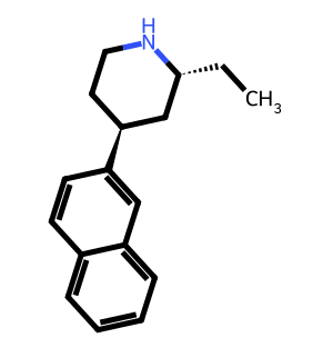 CC[C@@H]1C[C@@H](c2ccc3ccccc3c2)CCN1